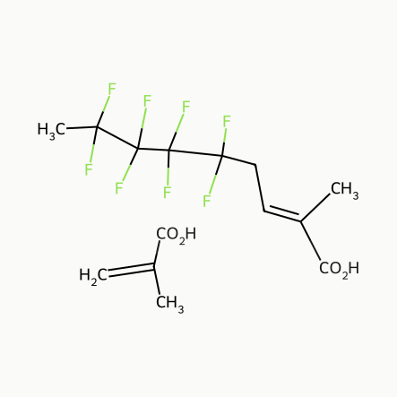 C=C(C)C(=O)O.CC(=CCC(F)(F)C(F)(F)C(F)(F)C(C)(F)F)C(=O)O